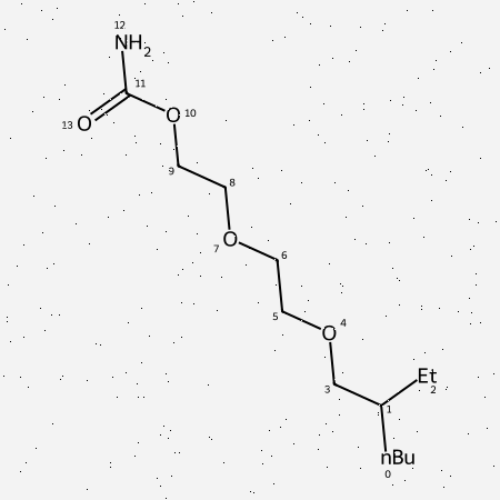 CCCCC(CC)COCCOCCOC(N)=O